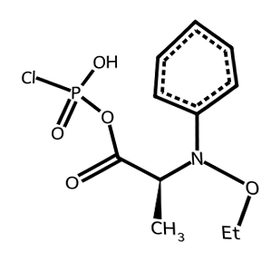 CCON(c1ccccc1)[C@@H](C)C(=O)OP(=O)(O)Cl